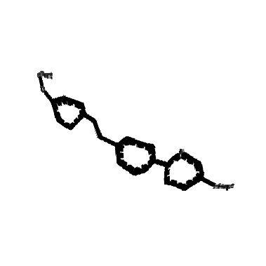 CCCCCCCc1ccc(-c2ccc(CCc3ccc(OCCCCC)cc3)cc2)nc1